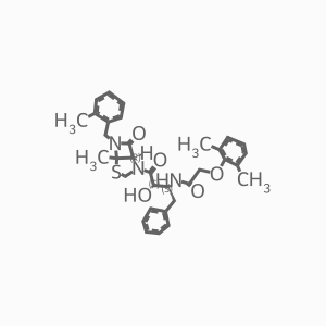 Cc1ccccc1CN1C(=O)[C@H]2N(C(=O)[C@@H](O)[C@H](Cc3ccccc3)NC(=O)COc3c(C)cccc3C)CSC21C